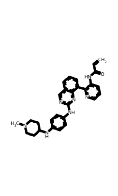 C=CC(=O)Nc1cccnc1-c1cccc2cnc(Nc3ccc(NC4CCN(C)CC4)cc3)nc12